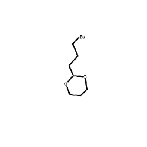 [CH2]CC(C)CCCC1OCCCO1